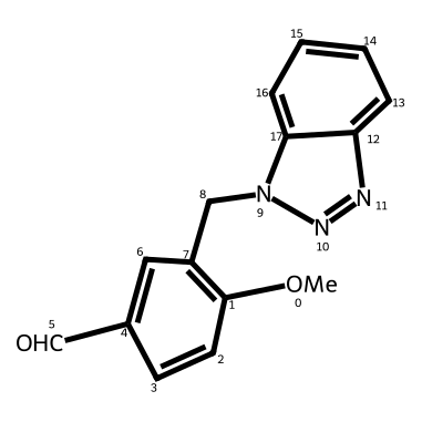 COc1ccc(C=O)cc1Cn1nnc2ccccc21